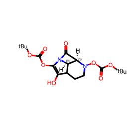 CC(C)(C)OC(=O)OC1=C(O)C2CCN(OC(=O)OC(C)(C)C)[C@@H]3C(=O)N1[C@H]23